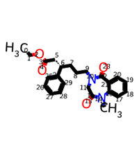 CCOC(=O)C[C@H](CCCN1CC(=O)N(C)c2ccccc2C1=O)c1ccccc1